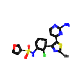 CC(C)(C)c1nc(-c2cccc(NS(=O)(=O)c3ccoc3)c2Cl)c(-c2ccnc(N)n2)s1